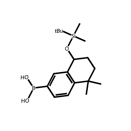 CC1(C)CCC(O[Si](C)(C)C(C)(C)C)c2cc(B(O)O)ccc21